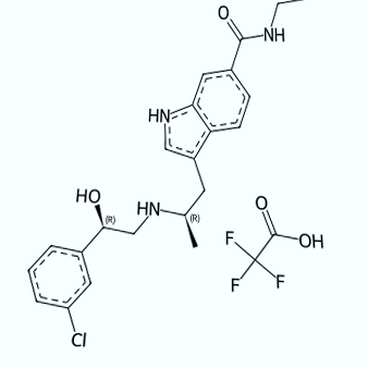 CCNC(=O)c1ccc2c(C[C@@H](C)NC[C@H](O)c3cccc(Cl)c3)c[nH]c2c1.O=C(O)C(F)(F)F